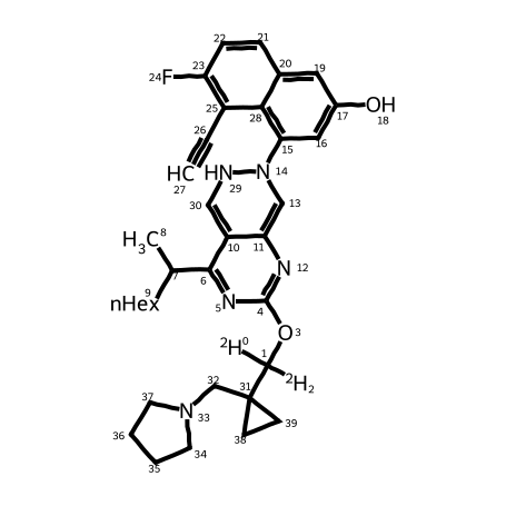 [2H]C([2H])(Oc1nc(C(C)CCCCCC)c2c(n1)=CN(c1cc(O)cc3ccc(F)c(C#C)c13)NC=2)C1(CN2CCCC2)CC1